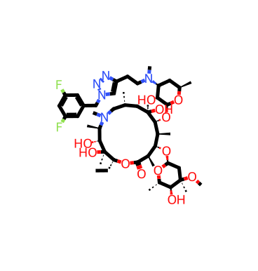 CC[C@H]1OC(=O)[C@H](C)[C@@H](O[C@H]2C[C@@](C)(OC)[C@@H](O)[C@H](C)O2)[C@H](C)[C@@H](O[C@@H]2O[C@H](C)C[C@H](N(C)CCc3cn(Cc4cc(F)cc(F)c4)nn3)[C@H]2O)[C@](C)(O)C[C@@H](C)CN(C)[C@H](C)[C@@H](O)[C@]1(C)O